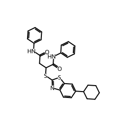 O=C(CC(Sc1nc2ccc(C3CCCCC3)cc2s1)C(=O)Nc1ccccc1)Nc1ccccc1